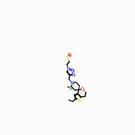 CCc1cc2c(s1)CCO[C@]21CCN(Cc2cn(CC[S+]=O)nn2)[C@H](C)C1